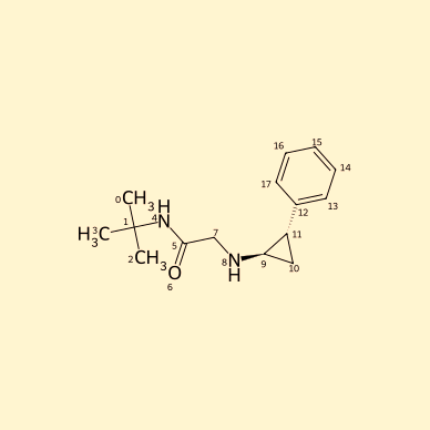 CC(C)(C)NC(=O)CN[C@@H]1C[C@H]1c1ccccc1